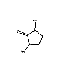 [2H]C1CCN([2H])C1=O